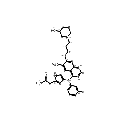 COc1cc2c(N(c3cccc(F)c3)c3cc(CC(N)=O)[nH]n3)ncnc2cc1OCCCN1CCCC(O)C1